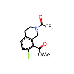 COC(=O)c1c(F)ccc2c1CN(C(=O)C(F)(F)F)CC2